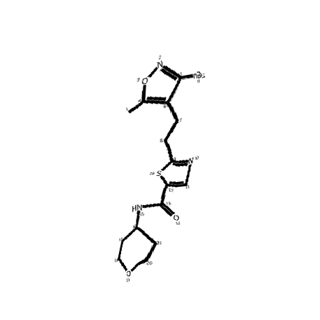 CCCCc1noc(C)c1CCc1ncc(C(=O)NC2CCOCC2)s1